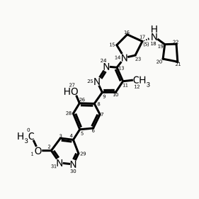 COc1cc(-c2ccc(-c3cc(C)c(N4CC[C@H](NC5CCC5)C4)nn3)c(O)c2)cnn1